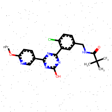 CCCOc1ccc(-c2nc(O)nc(-c3cc(CNC(=O)C(C)(C)C(F)(F)F)ccc3Cl)n2)cn1